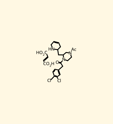 CC(=O)N1CCN(C(=O)Cc2ccc(Cl)c(Cl)c2)C(CC2CC=CCN2)C1.O=C(O)/C=C/C(=O)O